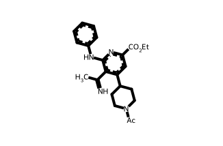 CCOC(=O)c1cc(C2CCN(C(C)=O)CC2)c(C(C)=N)c(Nc2ccccc2)n1